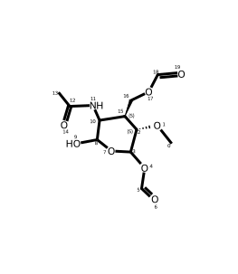 CO[C@@H]1C(OC=O)OC(O)C(NC(C)=O)[C@H]1COC=O